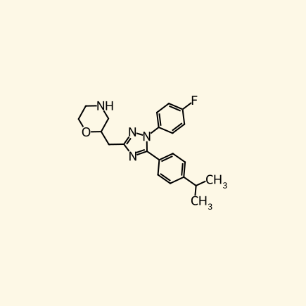 CC(C)c1ccc(-c2nc(CC3CNCCO3)nn2-c2ccc(F)cc2)cc1